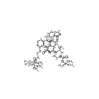 CC(C)c1cccc(CCCO[Si](C)(C)C(C)(C)C)c1-n1c(=O)nc(N2CCN(C(=O)OC(C)(C)C)CC2C)c2cc(F)c(-c3cccc4cn[nH]c34)nc21